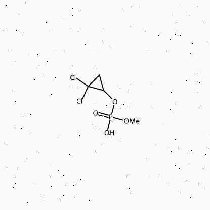 COP(=O)(O)OC1CC1(Cl)Cl